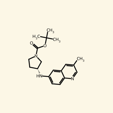 Cc1cnc2ccc(N[C@@H]3CCN(C(=O)OC(C)(C)C)C3)cc2c1